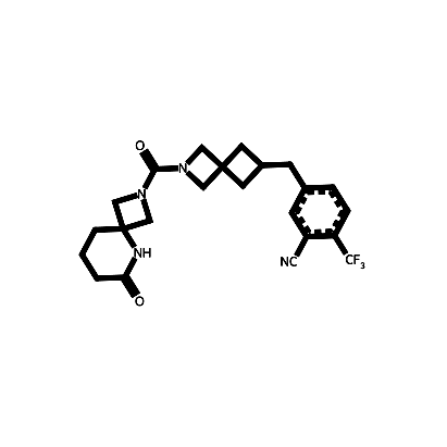 N#Cc1cc(CC2CC3(C2)CN(C(=O)N2CC4(CCCC(=O)N4)C2)C3)ccc1C(F)(F)F